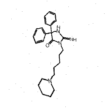 N=C1NC(c2ccccc2)(c2ccccc2)C(=O)N1CCCCCN1CCCCC1